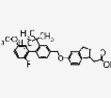 COc1ccc(F)c(-c2ccc(COc3ccc4c(c3)CCC4CC(=O)O)cc2C(C)(C)C)c1